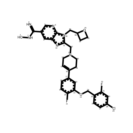 N=C(NO)c1cnc2c(c1)nc(CN1CC=C(c3ccc(F)c(OCc4ccc(Cl)cc4F)c3)CC1)n2CC1CCO1